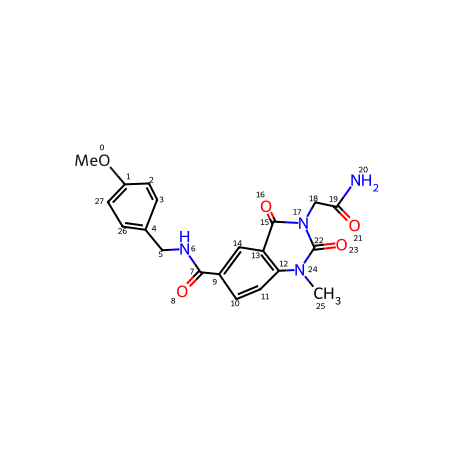 COc1ccc(CNC(=O)c2ccc3c(c2)c(=O)n(CC(N)=O)c(=O)n3C)cc1